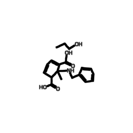 CC1(NCc2ccccc2)C(C(=O)O)=CC=CC1C(=O)O.CCCO